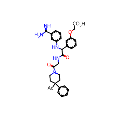 CC(=O)C1(c2ccccc2)CCN(C(=O)CNC(=O)C(Nc2cccc(C(=N)N)c2)c2cccc(OCC(=O)O)c2)CC1